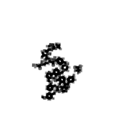 COc1ccc(COC(=O)[C@@H](Cc2ccccc2OCc2ccnc(-c3ccccc3OC)n2)Oc2ncnc3sc(-c4ccc(F)cc4)c(-c4ccc(OCCN5CC[N+](C)(Cc6ccc(NC(=O)[C@H](CCCNC(N)=O)NC(=O)[C@@H](NC(=O)[C@H](CN)NC(=O)OC(C)(C)C)C(C)C)cc6)CC5)c(Cl)c4C)c23)cc1.O=C([O-])C(F)(F)F